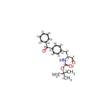 CC(C)(C)OC(=O)N[C@H](C=O)Cc1ccc(C(=O)c2ccccc2)cc1